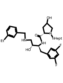 CCCCCCCN1CC(O)C[C@H]1C(=O)N[C@@H](Cc1cc(F)cc(F)c1)[C@H](O)CNCc1cccc(CC)c1